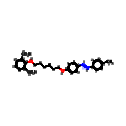 Cc1ccc(/N=N/c2ccc(OCCCCCCOc3c(C(=O)O)cccc3C(=O)O)cc2)cc1